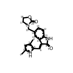 Cc1cc(C)c(C=C2C(=O)Nc3ccc(CN4CCOC4=O)cc32)[nH]1